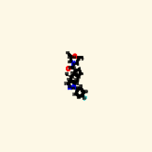 CC1CN(C(=O)[C@@H]2CCC3=C2[C@@H](C)c2cnn(-c4ccc(F)cc4)c2C3)CC(C)O1